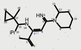 C=C(C)/C(=C/C(=N)N1CCCCC1C)NC(C(C)C)C1(C)CC1